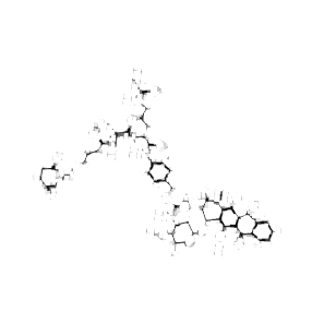 CC(=O)[C@]1(O)Cc2c(O)c3c(c(O)c2[C@@H](O[C@H]2C[C@H](NC(=O)OCc4ccc(NC(=O)[C@H](CCCNC(N)=O)NC(=O)[C@@H](NC(=O)CCCCCN5C(=O)CCC6OC65)C(C)C)cc4)[C@H](O)[C@H](C)O2)C1)C(=O)c1ccccc1C3=O